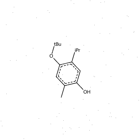 Cc1cc(OC(C)(C)C)c(C(C)C)cc1O